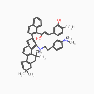 CN(C)c1ccc(CCNc2cc(-c3ccc4ccccc4c3C(O)C=Cc3ccc(C(=O)O)c(O)c3)cc3ccc4c(c23)C(C)(C)CC2=C4C=CC(C)(C)C2)cc1